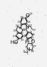 CCN1CCC(Oc2ccc(CN(CC)c3cc(OC)ccc3C3CCc4cc(O)ccc4C3)cc2F)CC1